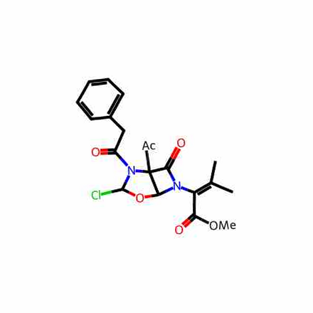 COC(=O)C(=C(C)C)N1C(=O)C2(C(C)=O)C1OC(Cl)N2C(=O)Cc1ccccc1